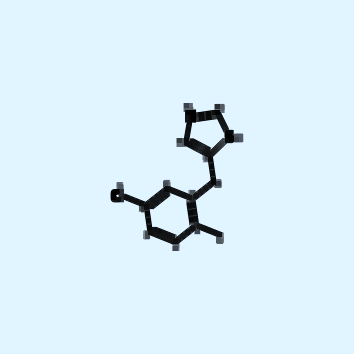 Cc1ccc(Cl)cc1Cc1cncs1